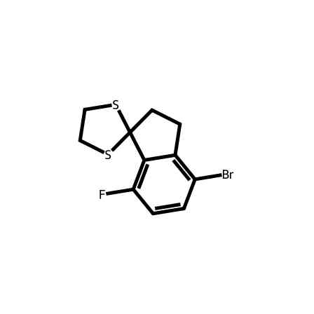 Fc1ccc(Br)c2c1C1(CC2)SCCS1